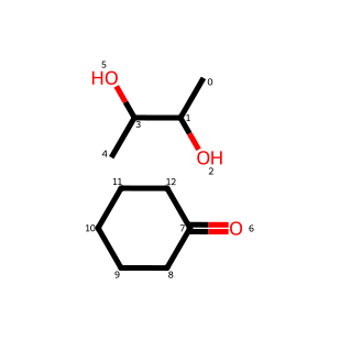 CC(O)C(C)O.O=C1CCCCC1